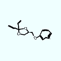 CCC1(CC)OC[C@H](COc2c[c]ccc2)O1